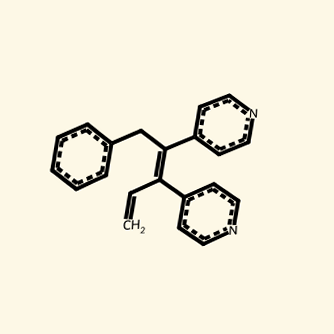 C=CC(=C(Cc1ccccc1)c1ccncc1)c1ccncc1